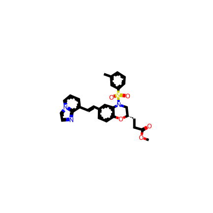 COC(=O)CC[C@H]1CN(S(=O)(=O)c2cccc(C)c2)c2cc(/C=C/c3cccn4ccnc34)ccc2O1